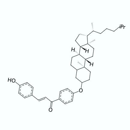 CC(C)CCC[C@@H](C)[C@H]1CC[C@H]2[C@@H]3CCC4CC(Oc5ccc(C(=O)/C=C/c6ccc(O)cc6)cc5)CC[C@]4(C)[C@H]3CC[C@]12C